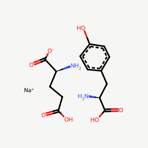 N[C@@H](CCC(=O)O)C(=O)[O-].N[C@@H](Cc1ccc(O)cc1)C(=O)O.[Na+]